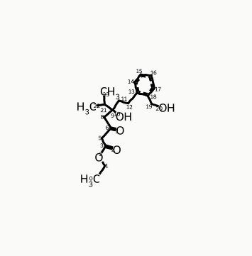 CCOC(=O)CC(=O)CC(O)(CCc1ccccc1CO)C(C)C